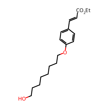 CCOC(=O)/C=C/c1ccc(OCCCCCCCCO)cc1